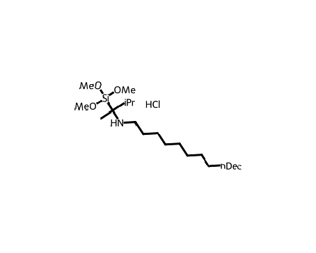 CCCCCCCCCCCCCCCCCCNC(C)(C(C)C)[Si](OC)(OC)OC.Cl